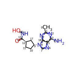 Cc1nc(N)c2ncn([C@@H]3CC[C@@H](C(=O)NO)C3)c2n1